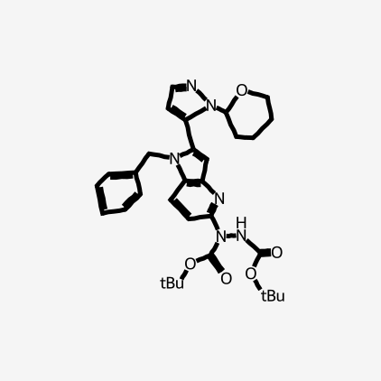 CC(C)(C)OC(=O)NN(C(=O)OC(C)(C)C)c1ccc2c(cc(-c3ccnn3C3CCCCO3)n2Cc2ccccc2)n1